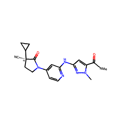 CNC(=O)c1cc(Nc2cc(N3CC[C@@](C#N)(C4CC4)C3=O)ccn2)nn1C